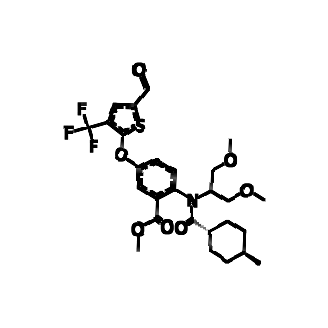 COCC(COC)N(c1ccc(Oc2sc(C=O)cc2C(F)(F)F)cc1C(=O)OC)C(=O)[C@H]1CC[C@H](C)CC1